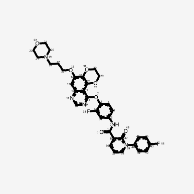 O=C(Nc1ccc(Oc2ncnc3cc(OCCCN4CCOCC4)c4c(c23)OCCO4)c(F)c1)c1cccn(-c2ccc(F)cc2)c1=O